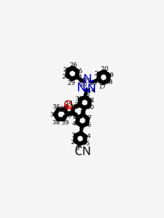 N#Cc1ccc(-c2ccc3c4ccc(-c5nc(-c6ccccc6)nc(-c6ccccc6)n5)cc4c4oc5ccccc5c4c3c2)cc1